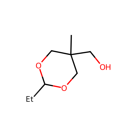 CCC1OCC(C)(CO)CO1